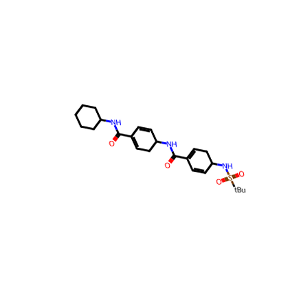 CC(C)(C)S(=O)(=O)NC1C=CC(C(=O)NC2C=CC(C(=O)NC3CCCCC3)=CC2)=CC1